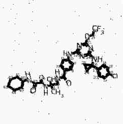 CC(C)(CNC(=O)c1ccc(Nc2nc(NC3(c4ccc(Cl)cc4)CC3)nc(OCC(F)(F)F)n2)cc1)NC(=O)C(=O)NC1CCCCC1